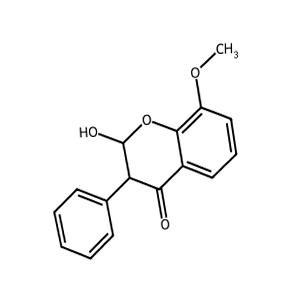 COc1cccc2c1OC(O)C(c1ccccc1)C2=O